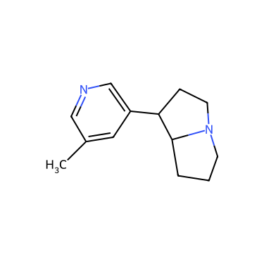 Cc1cncc(C2CCN3CCCC23)c1